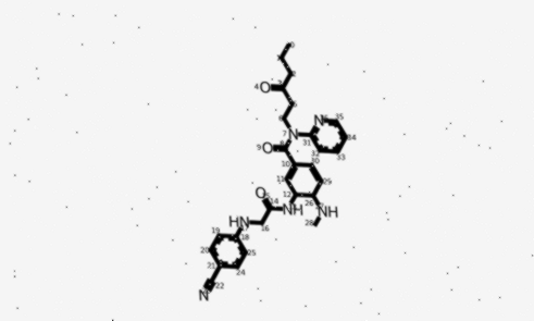 CCCC(=O)CCN(C(=O)C1=CC(NC(=O)CNc2ccc(C#N)cc2)C(NC)C=C1)c1ccccn1